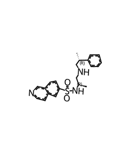 C[C@H](CNC[C@H](C)c1ccccc1)NS(=O)(=O)c1ccc2cnccc2c1